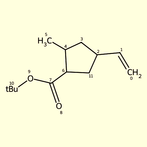 C=CC1CC(C)C(C(=O)OC(C)(C)C)C1